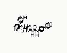 O=C(Nc1ccc(N2CCOCC2)cc1)Nc1nc(C(=O)Nc2cnccc2N2CCNCC2)cs1